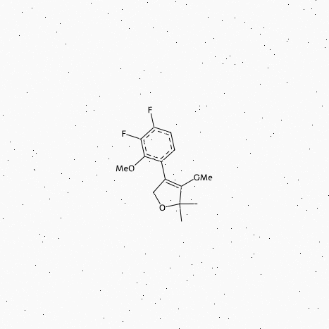 COC1=C(c2ccc(F)c(F)c2OC)COC1(C)C